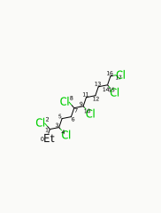 CCC(Cl)C(Cl)CCC(Cl)C(Cl)CCCC(Cl)CCl